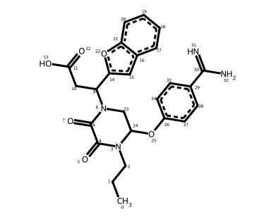 CCCN1C(=O)C(=O)N(C(CC(=O)O)c2cc3ccccc3o2)CC1Oc1ccc(C(=N)N)cc1